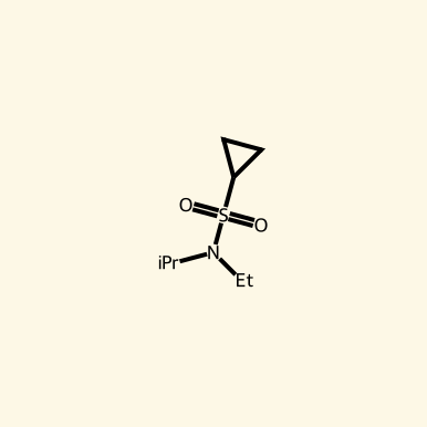 CCN(C(C)C)S(=O)(=O)C1CC1